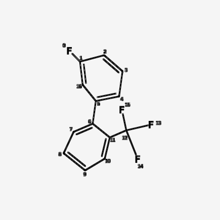 Fc1cccc(-c2ccccc2C(F)(F)F)c1